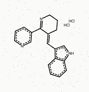 C(=C1CCCN=C1c1cccnc1)c1c[nH]c2ccccc12.Cl.Cl